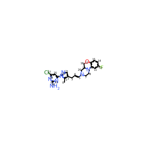 Cc1c(CC=CN2CCN3c4cc(F)ccc4OCC3C2)cnn1-c1cc(Cl)nc(N)n1